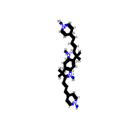 CN1C=CC(=CC=CC2=[N+](C)c3cc4c(cc3C2(C)C)[N+](C)=C(C=CC=C2C=CN(C)C=C2)C4(C)C)C=C1